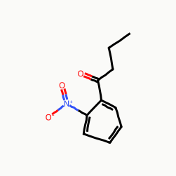 CCCC(=O)c1ccccc1[N+](=O)[O-]